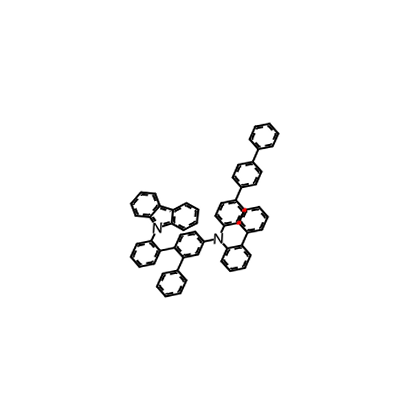 c1ccc(-c2ccc(-c3ccc(N(c4ccc(-c5ccccc5-n5c6ccccc6c6ccccc65)c(-c5ccccc5)c4)c4ccccc4-c4ccccc4)cc3)cc2)cc1